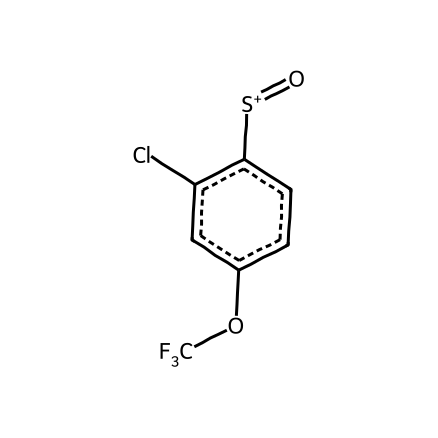 O=[S+]c1ccc(OC(F)(F)F)cc1Cl